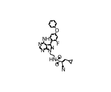 N#CC(=CC1CC1)S(=O)(=O)NCCn1nc(-c2ccc(Oc3ccccc3)cc2F)c2c(N)ncnc21